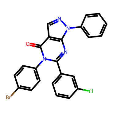 O=c1c2cnn(-c3ccccc3)c2nc(-c2cccc(Cl)c2)n1-c1ccc(Br)cc1